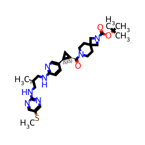 CSc1cnc(NC[C@H](C)CNc2ccc([C@H]3C[C@@H]3C(=O)N3CCC4(CC3)CN(C(=O)OC(C)(C)C)C4)cn2)nc1